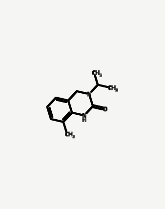 Cc1cccc2c1NC(=O)N(C(C)C)C2